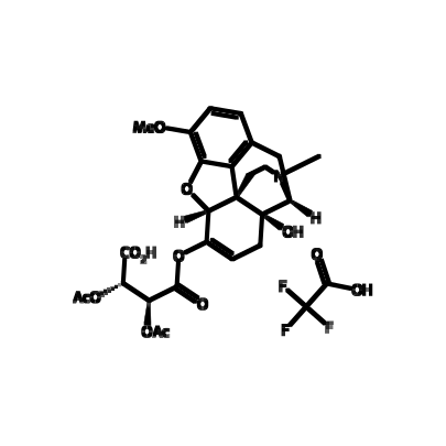 COc1ccc2c3c1O[C@H]1C(OC(=O)[C@@H](OC(C)=O)[C@H](OC(C)=O)C(=O)O)=CC[C@@]4(O)[C@@H](C2)N(C)CC[C@]314.O=C(O)C(F)(F)F